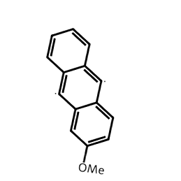 COc1ccc2[c]c3ccccc3[c]c2c1